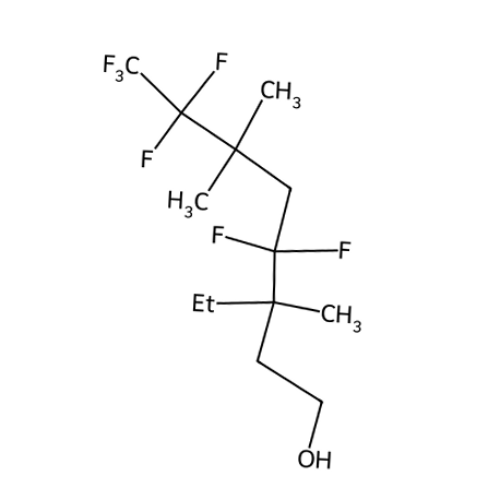 CCC(C)(CCO)C(F)(F)CC(C)(C)C(F)(F)C(F)(F)F